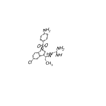 CC/C(=N/NC(=N)N)c1cn(S(=O)(=O)c2ccc(N)cc2)c2ccc(Cl)cc12